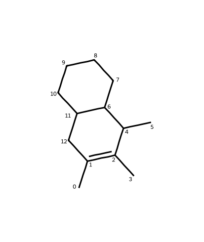 CC1=C(C)C(C)C2CCCCC2C1